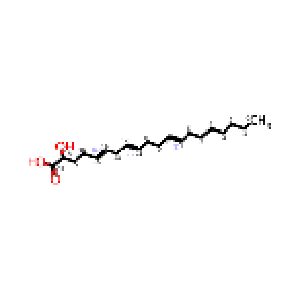 CCCCCCC/C=C/CC/C=C/C/C=C/CCC(O)C(=O)O